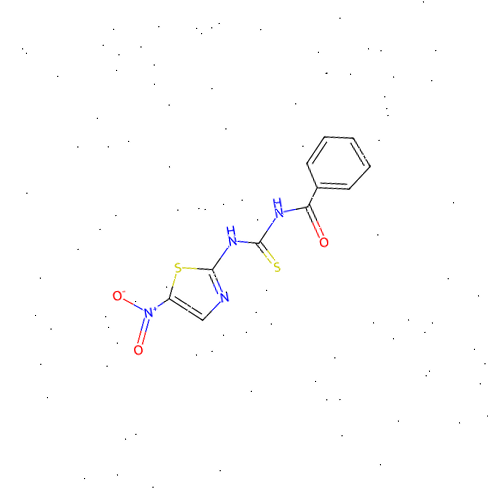 O=C(NC(=S)Nc1ncc([N+](=O)[O-])s1)c1ccccc1